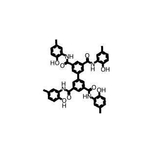 Cc1ccc(O)c(NC(=O)c2cc(C(=O)Nc3cc(C)ccc3O)cc(-c3cc(C(=O)Nc4cc(C)ccc4O)cc(C(=O)Nc4cc(C)ccc4O)c3)c2)c1